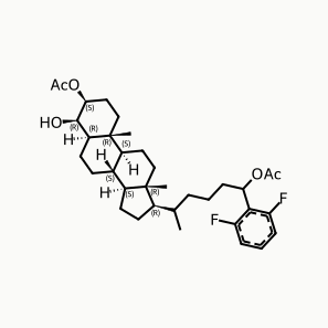 CC(=O)OC(CCCC(C)[C@H]1CC[C@H]2[C@@H]3CC[C@H]4[C@@H](O)[C@@H](OC(C)=O)CC[C@]4(C)[C@H]3CC[C@]12C)c1c(F)cccc1F